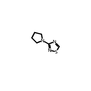 c1nc(N2CCCC2)ns1